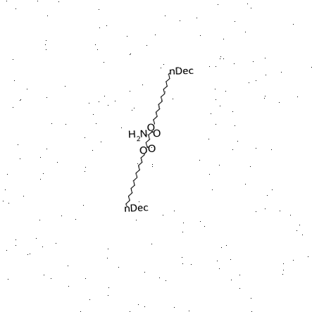 CCCCCCCCCCCCCCCCCCCCCCCCOC(=O)CC[C@H](N)C(=O)OCCCCCCCCCCCCCCCCCCCCCCCC